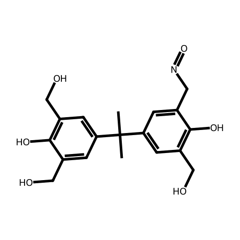 CC(C)(c1cc(CO)c(O)c(CO)c1)c1cc(CO)c(O)c(CN=O)c1